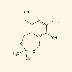 Cc1nc(CO)c2c(c1O)COC(C)(C)OC2